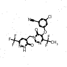 CC(F)(F)c1ncn(Cc2cc(C(F)(F)F)n[nH]c2=O)c(=O)c1Oc1cc(Cl)cc(C#N)c1